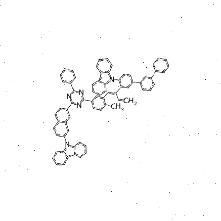 C=C/C(=C\c1cc(-c2nc(-c3ccccc3)nc(-c3ccc4ccc(-n5c6ccccc6c6ccccc65)cc4c3)n2)ccc1C)c1cc(-c2cccc(-c3ccccc3)c2)ccc1-n1c2ccccc2c2ccccc21